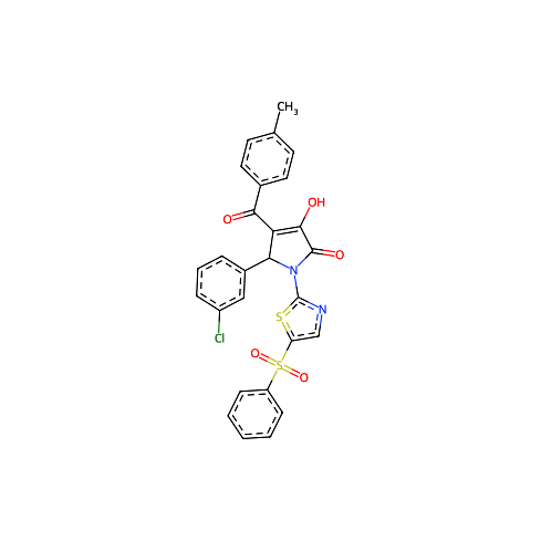 Cc1ccc(C(=O)C2=C(O)C(=O)N(c3ncc(S(=O)(=O)c4ccccc4)s3)C2c2cccc(Cl)c2)cc1